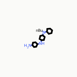 CCCCN(c1ccccc1)c1ccc(Nc2ccc(N)cc2)cc1